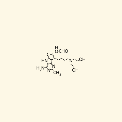 Cc1nc(N)c2[nH]c(C)c(CCCCCN(CCO)CCO)c2n1.O=CO